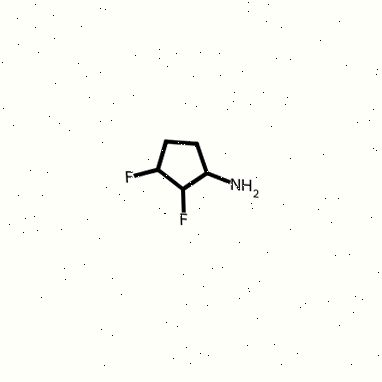 NC1CCC(F)C1F